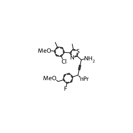 CCC[C@H](C#CC(N)c1nc(-c2cc(C)c(OC)cc2Cl)c(C)s1)c1ccc(COC)c(F)c1